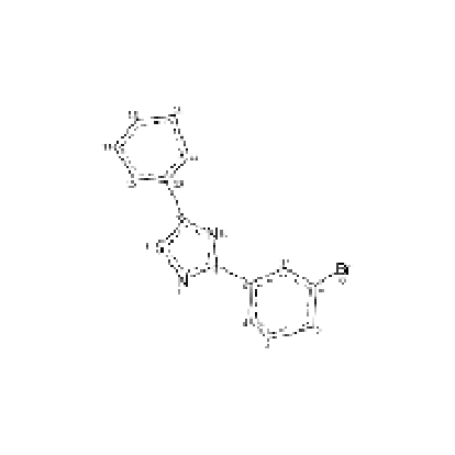 Brc1cccc(-c2nsc(-c3ccccc3)n2)c1